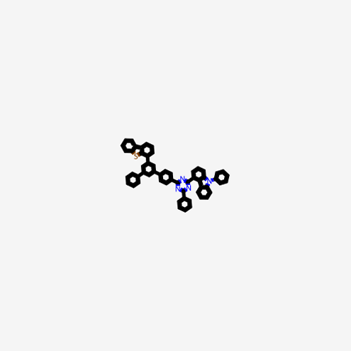 c1ccc(-c2cc(-c3ccc(-c4nc(-c5ccccc5)nc(-c5cccc6c5c5ccccc5n6-c5ccccc5)n4)cc3)cc(-c3cccc4c3sc3ccccc34)c2)cc1